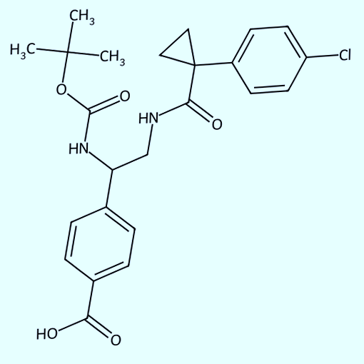 CC(C)(C)OC(=O)NC(CNC(=O)C1(c2ccc(Cl)cc2)CC1)c1ccc(C(=O)O)cc1